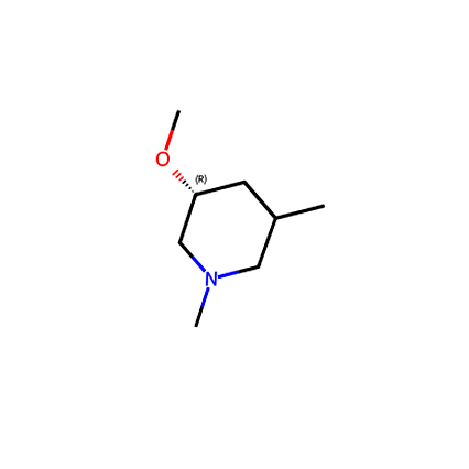 CO[C@@H]1CC(C)CN(C)C1